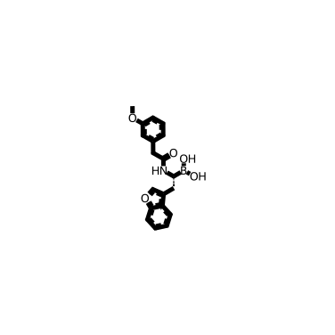 COc1cccc(CC(=O)N[C@@H](Cc2coc3ccccc23)B(O)O)c1